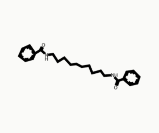 O=C(NCCCCCCCCCCNC(=O)c1ccccc1)c1ccccc1